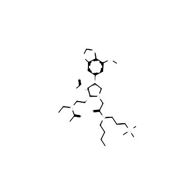 CCCCN(CCC[N+](C)(C)C)C(=O)CN1C[C@H](c2cc(OC)c3c(c2)OCO3)[C@@H](C(=O)O)[C@@H]1CCN(CC)C(C)=O